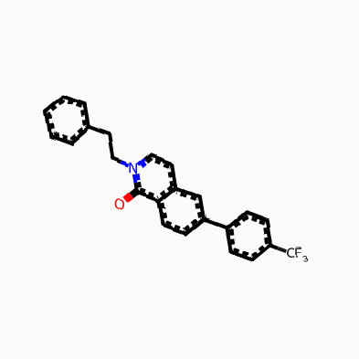 O=c1c2ccc(-c3ccc(C(F)(F)F)cc3)cc2ccn1CCc1ccccc1